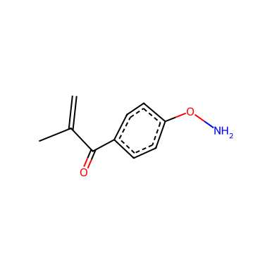 C=C(C)C(=O)c1ccc(ON)cc1